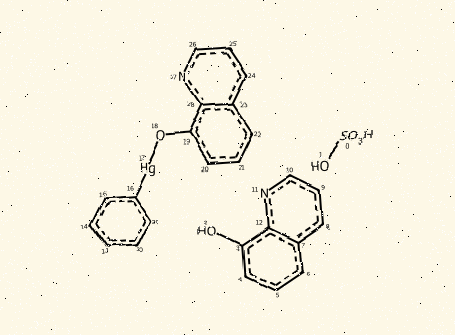 O=S(=O)(O)O.Oc1cccc2cccnc12.c1cc[c]([Hg][O]c2cccc3cccnc23)cc1